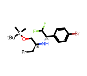 CC(C)C[C@@H](CO[Si](C)(C)C(C)(C)C)N[C@@H](c1ccc(Br)cc1)C(F)F